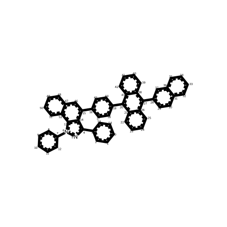 c1ccc(-c2nn(-c3ccccc3)c3c2c(-c2ccc(-c4c5ccccc5c(-c5ccc6ccccc6c5)c5ccccc45)cc2)cc2ccccc23)cc1